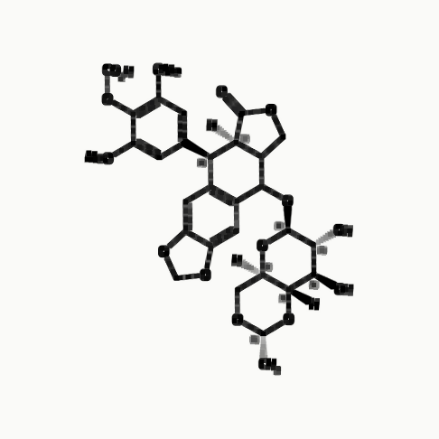 COc1cc([C@@H]2c3cc4c(cc3C(O[C@@H]3O[C@@H]5CO[C@@H](C)O[C@H]5[C@H](O)[C@H]3O)C3COC(=O)[C@@H]32)OCO4)cc(OC)c1OC(=O)O